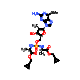 COc1nc(N)nc2c1ncn2[C@@H]1O[C@H](COP(=O)(N[C@@H](C)C(=O)OCC2CC2)N[C@@H](C)C(=O)OCC2CC2)[C@@H](O)[C@@H]1C